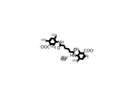 O=C(CCCCC(=O)Nc1c([131I])cc([131I])c(C(=O)[O-])c1[131I])Nc1c([131I])cc([131I])c(C(=O)[O-])c1[131I].[Na+].[Na+]